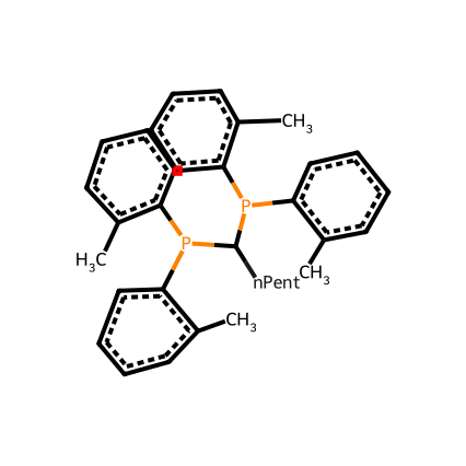 CCCCCC(P(c1ccccc1C)c1ccccc1C)P(c1ccccc1C)c1ccccc1C